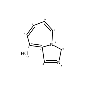 C1=CC=C2C=NCN2C=C1.Cl